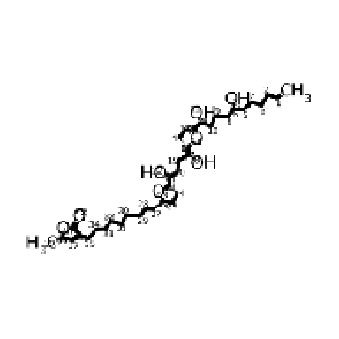 CCCCCC[C@@H](O)CCC[C@@H](O)[C@@H]1CC[C@@H]([C@H](O)CC[C@@H](O)[C@@H]2CC[C@@H](CCCCCCCCCC3=C[C@@H](C)OC3=O)O2)O1